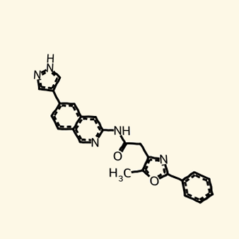 Cc1oc(-c2ccccc2)nc1CC(=O)Nc1cc2cc(-c3cn[nH]c3)ccc2cn1